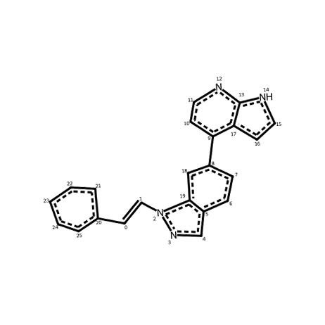 C(=Cn1ncc2ccc(-c3ccnc4[nH]ccc34)cc21)c1ccccc1